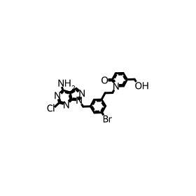 Nc1nc(Cl)nc2c1cnn2Cc1cc(Br)cc(CCn2cc(CO)ccc2=O)c1